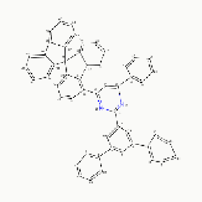 c1ccc(-c2cc(-c3ccccc3)cc(-c3nc(-c4ccccc4)cc(-c4cccc5c4-c4ccccc4C54c5ccccc5-c5ccccc54)n3)c2)cc1